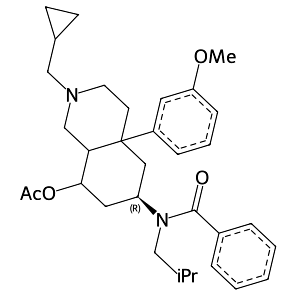 COc1cccc(C23CCN(CC4CC4)CC2C(OC(C)=O)C[C@H](N(CC(C)C)C(=O)c2ccccc2)C3)c1